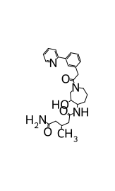 C[C@@H](CC(N)=O)CC(=O)NC1CCCN(C(=O)Cc2cccc(-c3ccccn3)c2)CC1O